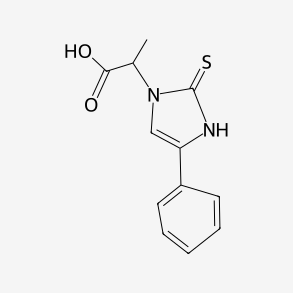 CC(C(=O)O)n1cc(-c2ccccc2)[nH]c1=S